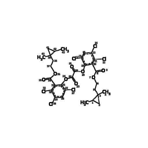 CC1CC1(C)CCOC(=O)c1c(Cl)c(Cl)cc(Cl)c1OC(=O)C(=O)Oc1c(Cl)cc(Cl)c(Cl)c1C(=O)OCCC1(C)CC1C